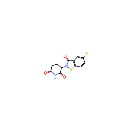 O=C1CCC(n2sc3ccc(F)cc3c2=O)C(=O)N1